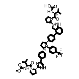 COC(=O)N[C@H](C(=O)N1CCC[C@H]1c1nc(-c2ccc([C@@H]3CC[C@@H](c4ccc(-c5cccc6c5CN([C@H]5CCCN5C(=O)[C@@H](NC(=O)O)C(C)C)N6)cc4)N3c3ccc(C(F)(F)F)cc3)cc2)c[nH]1)C(C)C